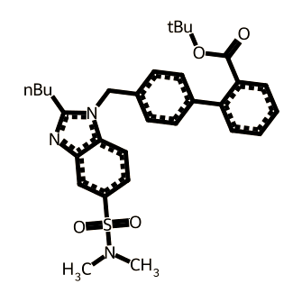 CCCCc1nc2cc(S(=O)(=O)N(C)C)ccc2n1Cc1ccc(-c2ccccc2C(=O)OC(C)(C)C)cc1